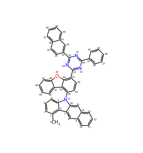 Cc1cccc2c1c1cc3ccccc3cc1n2-c1ccc(-c2nc(-c3ccccc3)nc(-c3ccc4ccccc4c3)n2)c2oc3ccccc3c12